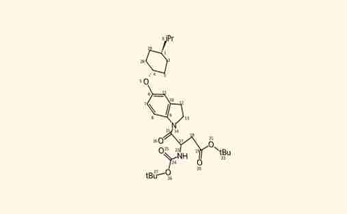 CC(C)[C@H]1CC[C@H](Oc2ccc3c(c2)CCN3C(=O)C(CC(=O)OC(C)(C)C)NC(=O)OC(C)(C)C)CC1